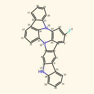 Fc1cc2c3cc4c(cc3n3c5cccc6c7ccccc7n(c(c1)c23)c65)[nH]c1ccccc14